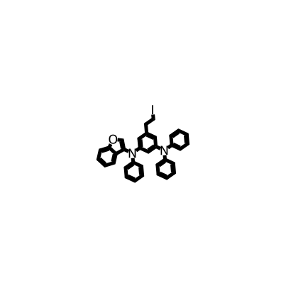 ICCc1cc(N(c2ccccc2)c2ccccc2)cc(N(c2ccccc2)c2coc3ccccc23)c1